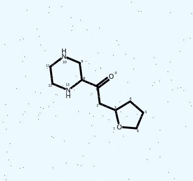 O=C(CC1CCCO1)C1CNCCN1